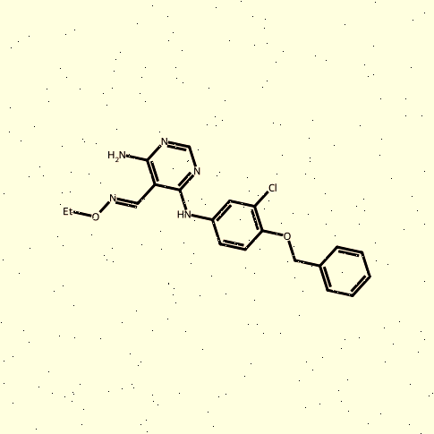 CCON=Cc1c(N)ncnc1Nc1ccc(OCc2ccccc2)c(Cl)c1